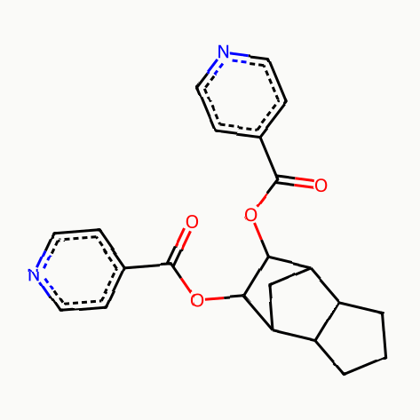 O=C(OC1C2CC(C3CCCC32)C1OC(=O)c1ccncc1)c1ccncc1